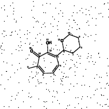 Cc1cccc(C2CCCCO2)c(O)c1=O